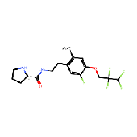 COc1cc(OCC(F)(F)C(F)F)c(F)cc1CCNC(=O)[C@@H]1CCCN1